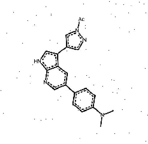 CC(=O)n1cc(-c2c[nH]c3ncc(-c4ccc(N(C)C)cc4)cc23)cn1